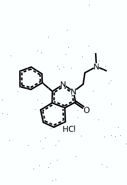 CN(C)CCn1nc(-c2ccccc2)c2ccccc2c1=O.Cl